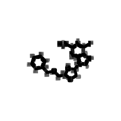 Nc1nc(I)c2ncn([C@H]3CO[C@@H](COCc4ccccc4)O3)c2n1